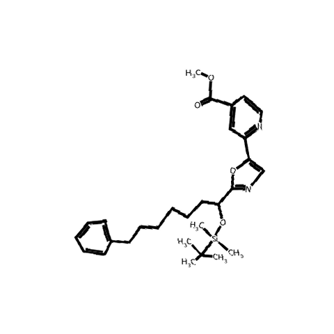 COC(=O)c1ccnc(-c2cnc(C(CCCCCCc3ccccc3)O[Si](C)(C)C(C)(C)C)o2)c1